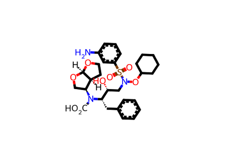 Nc1cccc(S(=O)(=O)N(C[C@@H](O)[C@H](Cc2ccccc2)N(C(=O)O)[C@H]2CO[C@H]3OCC[C@H]32)OC2CCCCC2)c1